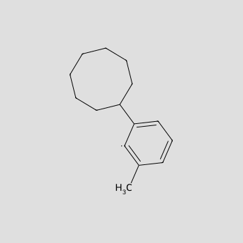 Cc1[c]c(C2CCCCCCC2)ccc1